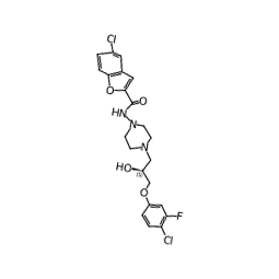 O=C(NN1CCN(C[C@H](O)COc2ccc(Cl)c(F)c2)CC1)c1cc2cc(Cl)ccc2o1